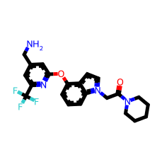 NCc1cc(Oc2cccc3c2ccn3CC(=O)N2CCCCC2)nc(C(F)(F)F)c1